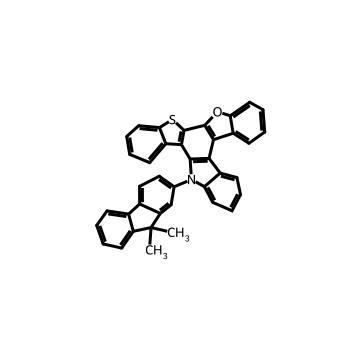 CC1(C)c2ccccc2-c2ccc(-n3c4ccccc4c4c5c6ccccc6oc5c5sc6ccccc6c5c43)cc21